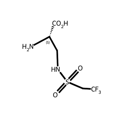 N[C@@H](CNS(=O)(=O)CC(F)(F)F)C(=O)O